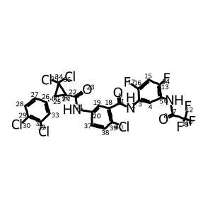 O=C(Nc1cc(NC(=O)C(F)(F)F)c(F)cc1F)c1cc(NC(=O)[C@H]2[C@H](c3ccc(Cl)c(Cl)c3)C2(Cl)Cl)ccc1Cl